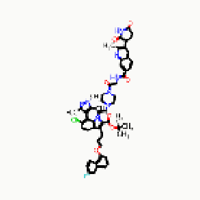 Cc1nc2cc(C(=O)NCC(=O)N3CCN(CCn4c(C(=O)OC(C)(C)C)c(CCCOc5cccc6cc(F)ccc56)c5ccc(Cl)c(-c6c(C)nn(C)c6C)c54)CC3)ccc2cc1C1CCC(=O)NC1=O